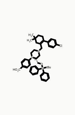 CC1(C)CCC(c2ccc(Cl)cc2)=C(CN2CCN(c3ccc(C(=O)O)cc3)[C@@H](CO[Si](c3ccccc3)(c3ccccc3)C(C)(C)C)C2)C1